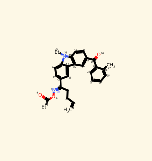 C=CCC/C(=N\OC(=O)CC)c1ccc2c(c1)c1cc(C(=O)c3ccccc3C)ccc1n2CC